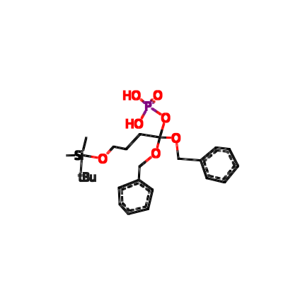 CC(C)(C)[Si](C)(C)OCCCC(OCc1ccccc1)(OCc1ccccc1)OP(=O)(O)O